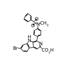 CN(c1ccc(-c2nc(C(=O)O)cc3c2[nH]c2cc(Br)ccc23)cc1)S(=O)(=O)c1ccccc1